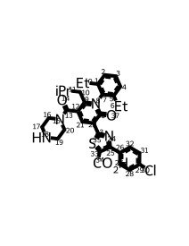 CCc1cccc(CC)c1-n1c(CC(C)C)c(C(=O)N2CCNCC2)cc(-c2nc(-c3ccc(Cl)cc3)c(C(=O)O)s2)c1=O